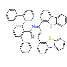 c1ccc(-c2ccccc2-c2cccc(-c3ccccc3)c2-c2nc(-c3cccc4c3sc3ccccc34)cc(-c3cccc4c3sc3ccccc34)n2)cc1